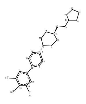 Fc1cc(-c2ccc([C@H]3CC[C@H](CCC4CCCC4)CC3)cc2)cc(F)c1F